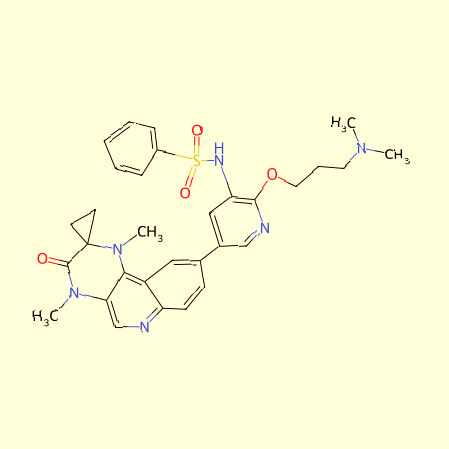 CN(C)CCCOc1ncc(-c2ccc3ncc4c(c3c2)N(C)C2(CC2)C(=O)N4C)cc1NS(=O)(=O)c1ccccc1